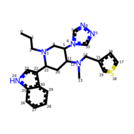 CCCN1CC(n2cnnc2)C(N(C)Cc2ccsc2)CC1c1c[nH]c2ccccc12